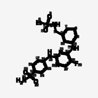 CCS(=O)(=O)NCc1cccc(Nc2nc(Nc3ccc(S(N)(=O)=O)cc3)ncc2F)c1